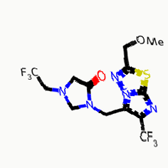 COCc1nn2c(CN3CN(CC(F)(F)F)CC3=O)c(C(F)(F)F)nc2s1